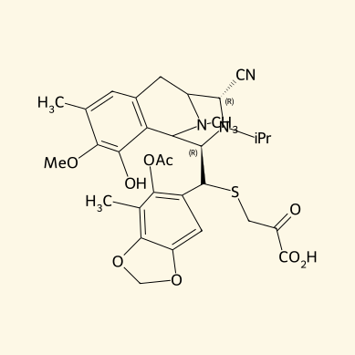 COc1c(C)cc2c(c1O)C1[C@H](C(SCC(=O)C(=O)O)c3cc4c(c(C)c3OC(C)=O)OCO4)N(C(C)C)[C@@H](C#N)C(C2)N1C